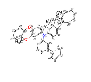 CC1C(N(c2cccc(-c3ccccc3)c2)c2ccc3c(c2)OC2(C)C=CC=CC2O3)=CC=C2C3=C(C=CC#CC3)C(C)(C)C21